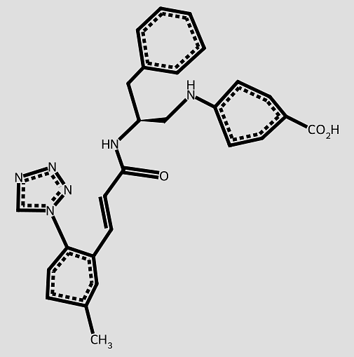 Cc1ccc(-n2cnnn2)c(/C=C/C(=O)N[C@H](CNc2ccc(C(=O)O)cc2)Cc2ccccc2)c1